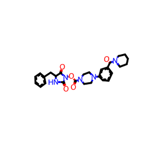 O=C(ON1C(=O)NC(Cc2ccccc2)C1=O)N1CCN(c2cccc(C(=O)N3CCCCC3)c2)CC1